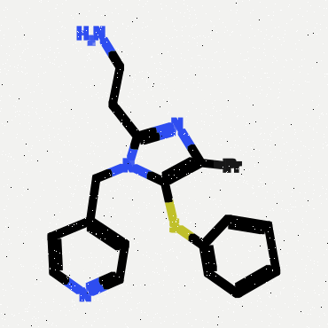 CC(C)c1nc(CCN)n(Cc2ccncc2)c1Sc1ccccc1